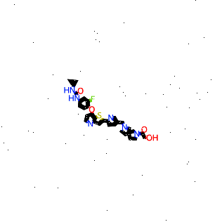 O=C(Nc1ccc(Oc2ccnc3cc(-c4ccc(CN5CCC6(CCN(C(=O)CO)C6)C5)cn4)sc23)c(F)c1)NC1CC1